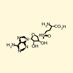 C[SH](=O)(CC[C@@H](N)C(=O)O)C[C@H]1O[C@@H](n2cnc3c(N)ncnc32)[C@H](O)[C@@H]1O